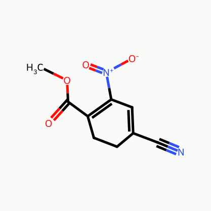 COC(=O)C1=C([N+](=O)[O-])C=C(C#N)CC1